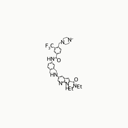 CCN(CC)C(=O)c1cc2cc(NCc3cc(NC(=O)c4ccc(CN5CCN(C)CC5)c(C(F)(F)F)c4)ccc3C)cnc2[nH]1